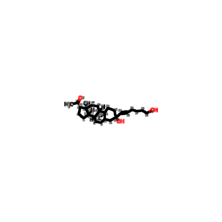 CC(=O)[C@H]1CC[C@H]2[C@@H]3CCC4CC(O)(C#CCCCCO)CC[C@]4(C)[C@H]3CC[C@]12C